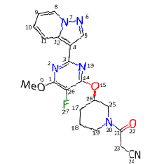 COc1nc(-c2cnn3ccccc23)nc(O[C@@H]2CCCN(C(=O)CC#N)C2)c1F